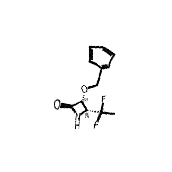 CC(F)(F)[C@@H]1NC(=O)[C@@H]1OCc1ccccc1